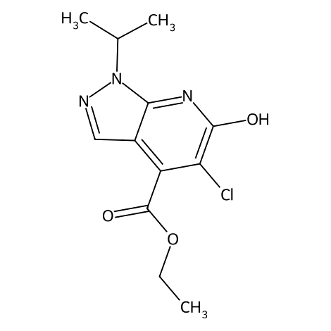 CCOC(=O)c1c(Cl)c(O)nc2c1cnn2C(C)C